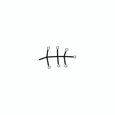 CC(Cl)(Cl)C(Cl)(Cl)C(Cl)(Cl)Cl